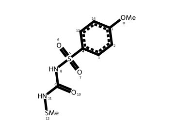 COc1ccc(S(=O)(=O)NC(=O)NSC)cc1